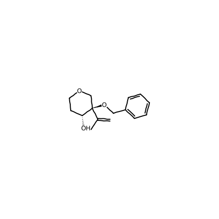 C=C(C)[C@@]1(OCc2ccccc2)COCC[C@H]1O